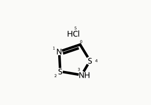 C1=NSNS1.Cl